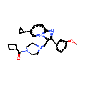 COc1cccc(-c2nc3ccc(C4CC4)cn3c2CN2CCN(C(=O)C3CCC3)CC2)c1